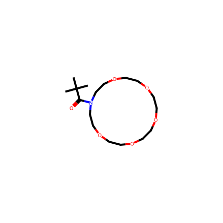 CC(C)(C)C(=O)N1CCOCCOCCOCCOCCOCC1